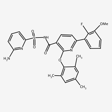 COc1cccc(-c2ccc(C(=O)NS(=O)(=O)c3cccc(N)n3)c(Oc3c(C)cc(C)cc3C)n2)c1F